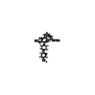 CC[C@H](/C(=N/C#N)NC1C2CC3CC1CC(NC(C)=O)(C3)C2)N1CCN(c2ccc(C(F)(F)F)cn2)CC1